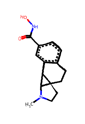 CN1CC[C@]23CCc4ccc(C(=O)NO)cc4C2C13